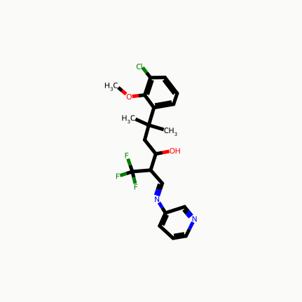 COc1c(Cl)cccc1C(C)(C)CC(O)C(C=Nc1cccnc1)C(F)(F)F